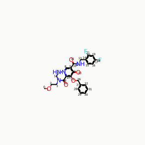 COCCN1CNn2cc(C(=O)NCc3ccc(F)cc3F)c(=O)c(OCc3ccccc3)c2C1=O